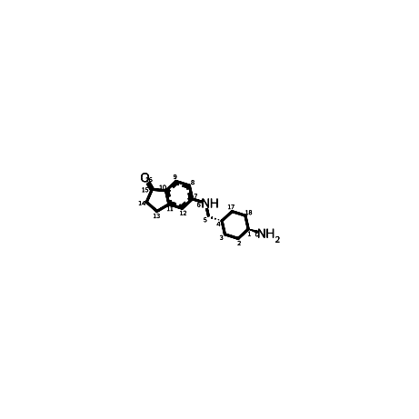 N[C@H]1CC[C@H](CNc2ccc3c(c2)CCC3=O)CC1